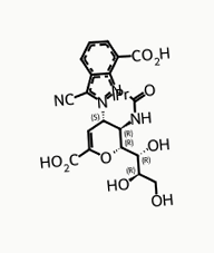 CC(C)C(=O)N[C@H]1[C@H]([C@H](O)[C@H](O)CO)OC(C(=O)O)=C[C@@H]1n1nc2c(C(=O)O)cccc2c1C#N